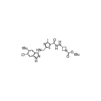 Cc1nc(CNc2n[nH]c3cc(Cl)c(C(C)(C)C)cc23)sc1C(=O)NNC1CN(C(=O)OC(C)(C)C)C1